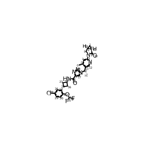 Cc1cc(N2C[C@H]3C[C@H]3C2=O)ncc1[C@H](C)n1cc(C(=O)N[C@H]2C[C@@H](c3cc(Cl)ccc3OC(F)F)C2)nn1